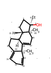 CC[C@@]1(O)CC[C@H]2[C@@H]3CCC4=CCC=C[C@]4(C)C3=CC[C@@]21C